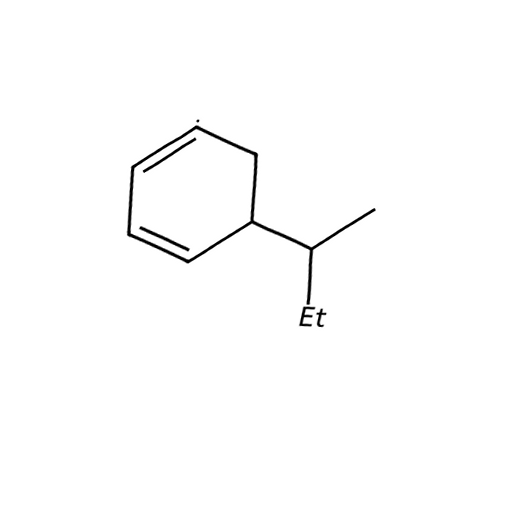 CCC(C)C1C=CC=[C]C1